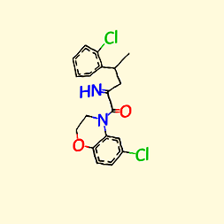 CC(CC(=N)C(=O)N1CCOc2ccc(Cl)cc21)c1ccccc1Cl